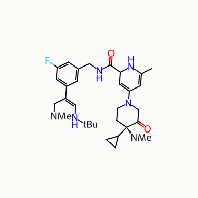 CNC/C(=C\NC(C)(C)C)c1cc(F)cc(CNC(=O)C2C=C(N3CC[C@@](NC)(C4CC4)C(=O)C3)C=C(C)N2)c1